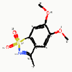 COc1cc2c(cc1OC)S(=O)(=O)N=C2C